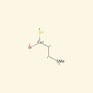 CSC[CH2][Cu]([SH])[Br]